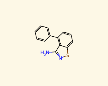 Nc1nsc2cccc(-c3ccccc3)c12